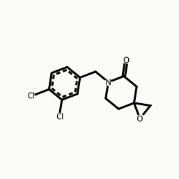 O=C1CC2(CCN1Cc1ccc(Cl)c(Cl)c1)CO2